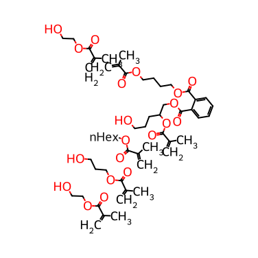 C=C(C)C(=O)OCCCCCC.C=C(C)C(=O)OCCCCOC(=O)c1ccccc1C(=O)OCC(CCCO)OC(=O)C(=C)C.C=C(C)C(=O)OCCCO.C=C(C)C(=O)OCCO.C=C(C)C(=O)OCCO